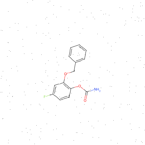 NC(=O)Oc1ccc(F)cc1OCc1ccccc1